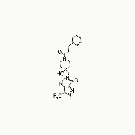 Cn1nc2c(=O)n(CC3(O)CCN(C(=O)CCc4ccccc4)CC3)cnc2c1C(F)(F)F